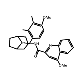 COc1ccc(CN2C3CCC2CC(NC(=O)c2cc(OC)c4ccccc4n2)C3)c(C)c1C